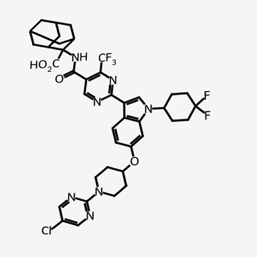 O=C(NC1(C(=O)O)C2CC3CC(C2)CC1C3)c1cnc(-c2cn(C3CCC(F)(F)CC3)c3cc(OC4CCN(c5ncc(Cl)cn5)CC4)ccc23)nc1C(F)(F)F